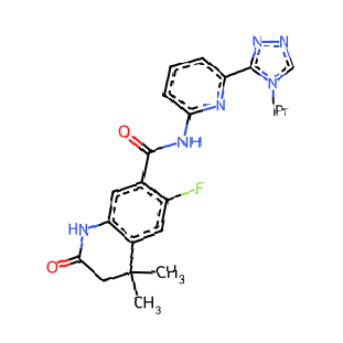 CC(C)n1cnnc1-c1cccc(NC(=O)c2cc3c(cc2F)C(C)(C)CC(=O)N3)n1